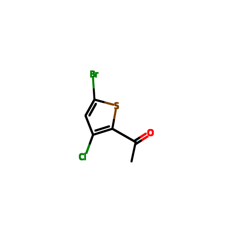 CC(=O)c1sc(Br)cc1Cl